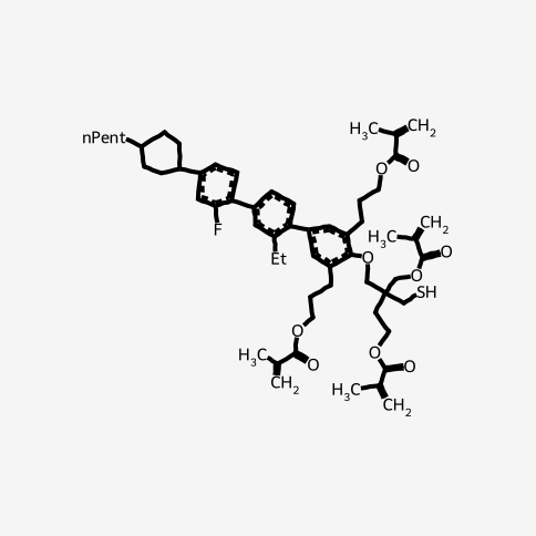 C=C(C)C(=O)OCCCc1cc(-c2ccc(-c3ccc(C4CCC(CCCCC)CC4)cc3F)cc2CC)cc(CCCOC(=O)C(=C)C)c1OCC(CS)(CCOC(=O)C(=C)C)COC(=O)C(=C)C